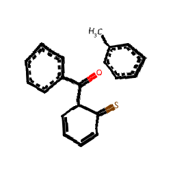 Cc1ccccc1.O=C(c1ccccc1)C1C=CC=CC1=S